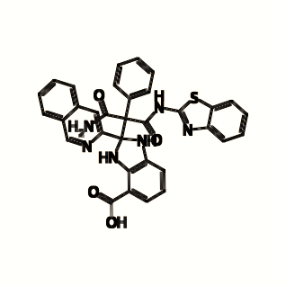 NC(=O)C(C(=O)Nc1nc2ccccc2s1)(c1ccccc1)C1(c2cc3ccccc3cn2)Nc2cccc(C(=O)O)c2N1